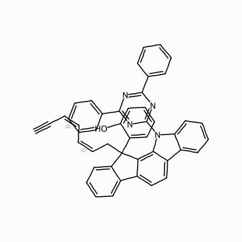 C#C/C=C\C=C/CC1(c2ccccc2O)c2ccccc2-c2ccc3c4ccccc4n(-c4nc(-c5ccccc5)nc(-c5ccccc5)n4)c3c21